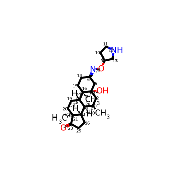 C[C@@H]1C[C@@]2(O)CC(=NOC3CCNC3)CC[C@]2(C)[C@H]2CC[C@]3(C)C(=O)CC[C@H]3[C@H]12